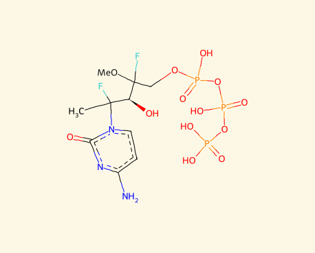 COC(F)(COP(=O)(O)OP(=O)(O)OP(=O)(O)O)[C@@H](O)C(C)(F)n1ccc(N)nc1=O